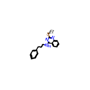 CCSc1nc(NCCCc2ccccc2)c2ccccc2n1